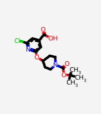 CC(C)(C)OC(=O)N1CCC(Oc2cc(C(=O)O)cc(Cl)n2)CC1